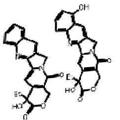 CCC1(O)C(=O)OCc2c1cc1n(c2=O)Cc2cc3c(O)cccc3nc2-1.CCC1(O)C(=O)OCc2c1cc1n(c2=O)Cc2cc3ccccc3nc2-1